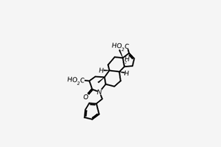 C[C@]12CC(C(=O)O)C(=O)N(Cc3ccccc3)C1CC[C@@H]1[C@H]2CC[C@]2(C)C(C(=O)O)=CC[C@@H]12